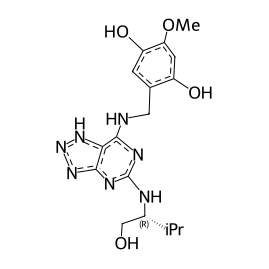 COc1cc(O)c(CNc2nc(N[C@@H](CO)C(C)C)nc3nn[nH]c23)cc1O